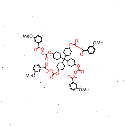 COc1cccc(C(=O)OOC(=O)OC2CCC(C(C3CCC(OC(=O)OOC(=O)c4cccc(OC)c4)CC3)(C3CCC(OC(=O)OOC(=O)c4cccc(OC)c4)CC3)C3CCC(OC(=O)OOC(=O)c4cccc(OC)c4)CC3)CC2)c1